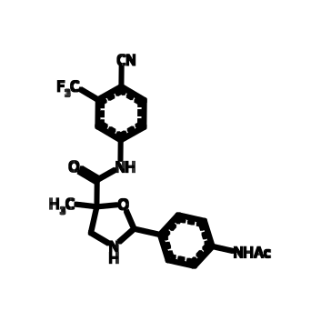 CC(=O)Nc1ccc(C2NCC(C)(C(=O)Nc3ccc(C#N)c(C(F)(F)F)c3)O2)cc1